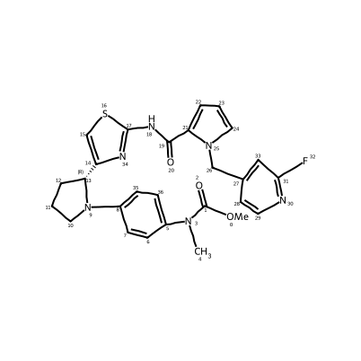 COC(=O)N(C)c1ccc(N2CCC[C@@H]2c2csc(NC(=O)c3cccn3Cc3ccnc(F)c3)n2)cc1